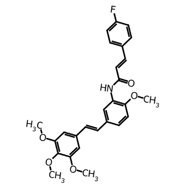 COc1ccc(/C=C/c2cc(OC)c(OC)c(OC)c2)cc1NC(=O)/C=C/c1ccc(F)cc1